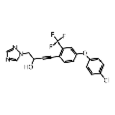 OC(C#Cc1ccc(Oc2ccc(Cl)cc2)cc1C(F)(F)F)Cn1cncn1